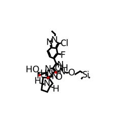 CCn1nc2ccc(-c3nn(COCC[Si](C)(C)C)c4nc(N5[C@H]6CC[C@@H]5[C@@H](F)[C@@H](NC(=O)O)C6)c(CO)nc34)c(F)c2c1Cl